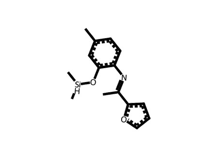 CC(=Nc1ccc(C)cc1O[SiH](C)C)c1ccco1